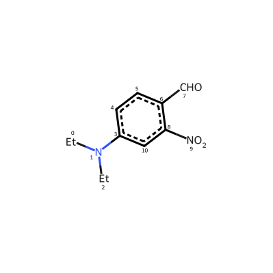 CCN(CC)c1ccc(C=O)c([N+](=O)[O-])c1